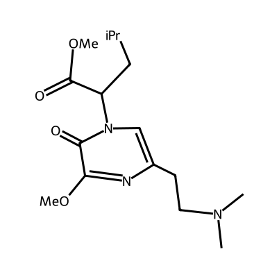 COC(=O)C(CC(C)C)n1cc(CCN(C)C)nc(OC)c1=O